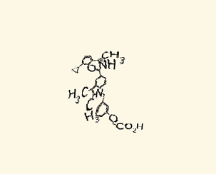 Cc1c(C)n(Cc2cccc(OCC(=O)O)c2)c2ccc(C(=O)N[C@@H](C)c3cccc(C4CC4)c3)cc12